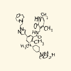 Cc1cc(C)c(CNC(=O)c2cc(-c3cnn(CCN4CCOCC4)c3)cc(N(C)[C@H]3CC[C@@H](NC(=O)O)CC3)c2C)c(=O)[nH]1